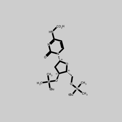 CC(C)(C)[Si](C)(C)OC[C@H]1O[C@@H](n2ccc(NC(=O)O)nc2=O)C[C@@H]1O[Si](C)(C)C(C)(C)C